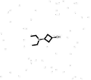 CCN(CC)[C@H]1C[C@@H](O)C1